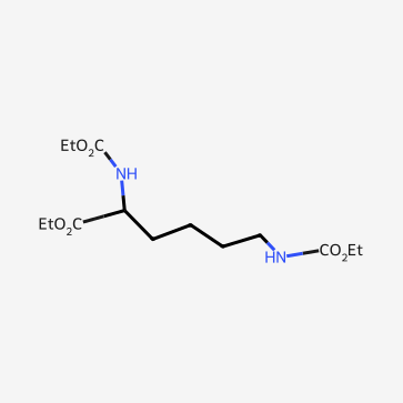 CCOC(=O)NCCCCC(NC(=O)OCC)C(=O)OCC